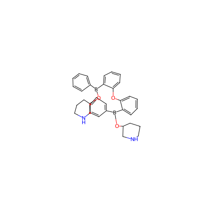 c1ccc(B(OC2CCCNC2)c2ccccc2Oc2ccccc2B(OC2CCCNC2)c2ccccc2)cc1